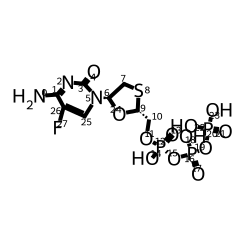 Nc1nc(=O)n([C@@H]2CS[C@H](COP(=O)(O)OP(=O)(O)OP(=O)(O)O)O2)cc1F